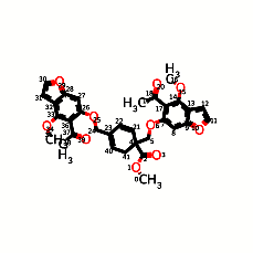 COC(=O)C1(COc2cc3occc3c(OC)c2C(C)=O)C=CC(COc2cc3occc3c(OC)c2C(C)=O)=CC1